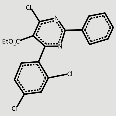 CCOC(=O)c1c(Cl)nc(-c2ccccc2)nc1-c1ccc(Cl)cc1Cl